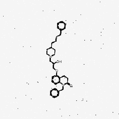 O=C1CCc2c(OCC(O)CN3CCC(CCCCc4ccccc4)CC3)cccc2N1Cc1ccccc1